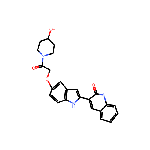 O=C(COc1ccc2[nH]c(-c3cc4ccccc4[nH]c3=O)cc2c1)N1CCC(O)CC1